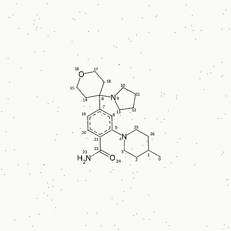 CC1CCN(c2cc(C3(N4CCCC4)CCOCC3)ccc2C(N)=O)CC1